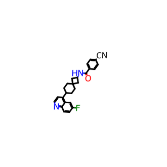 N#Cc1ccc(C(=O)NC2CC3(CCC(c4ccnc5ccc(F)cc45)CC3)C2)cc1